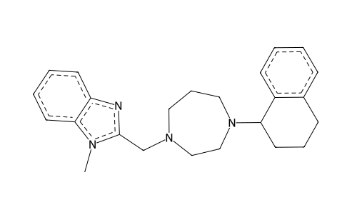 Cn1c(CN2CCCN(C3CCCc4ccccc43)CC2)nc2ccccc21